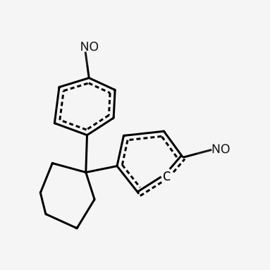 O=Nc1ccc(C2(c3ccc(N=O)cc3)CCCCC2)cc1